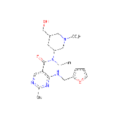 CC(C)CN(C(=O)c1cnc(C(C)(C)C)nc1NCc1ccco1)C1CC(CO)CN(C(=O)O)C1